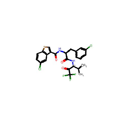 CC(C)[C@H](NC(=O)C(Cc1cccc(Cl)c1)NC(=O)c1csc2ccc(Cl)cc12)C(=O)C(F)(F)F